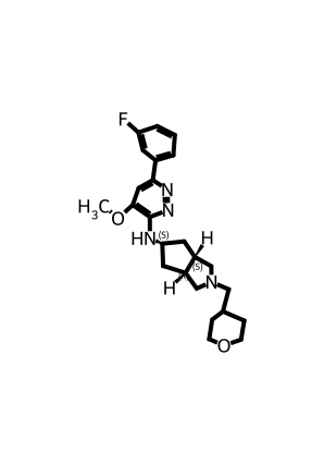 COc1cc(-c2cccc(F)c2)nnc1N[C@H]1C[C@@H]2CN(CC3CCOCC3)C[C@@H]2C1